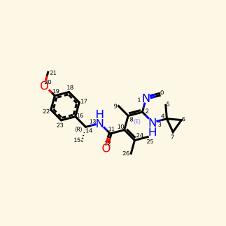 C=N/C(NC1(C)CC1)=C(\C)C(C(=O)N[C@H](C)c1ccc(OC)cc1)=C(C)C